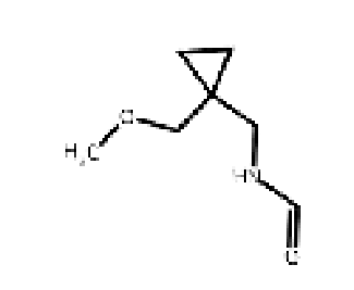 COCC1(CNC=O)CC1